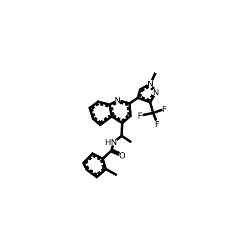 Cc1ccccc1C(=O)NC(C)c1cc(-c2cn(C)nc2C(F)(F)F)nc2ccccc12